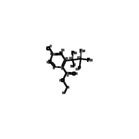 CCOC(=O)c1cnc(Cl)nc1C(F)(F)C(F)(F)F